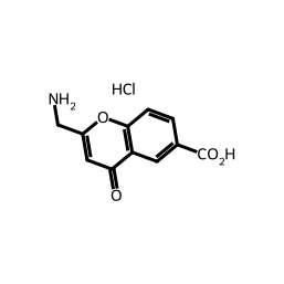 Cl.NCc1cc(=O)c2cc(C(=O)O)ccc2o1